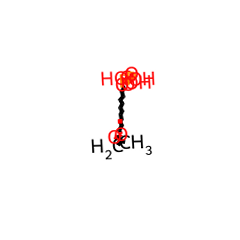 C=C(C)C(=O)OCCCCCCCCCCCCOP(=O)(O)OP(=O)(O)O